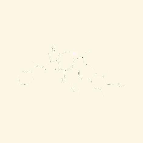 COc1c(C)cnc(CN2C(=O)/C(=C/c3nc(NC(=O)C4CCOCC4)c[nH]3)c3c(Cl)nc(N)nc32)c1C